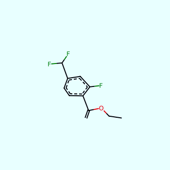 C=C(OCC)c1ccc(C(F)F)cc1F